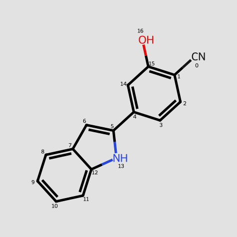 N#Cc1ccc(-c2cc3ccccc3[nH]2)cc1O